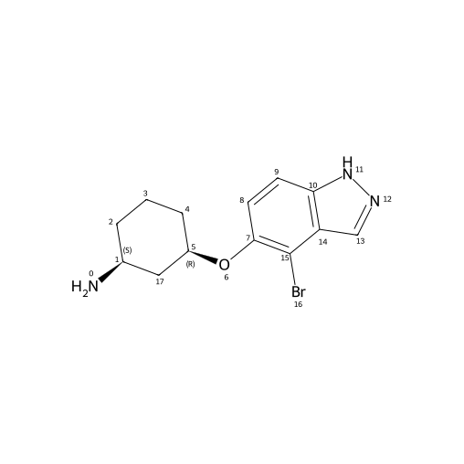 N[C@H]1CCC[C@@H](Oc2ccc3[nH]ncc3c2Br)C1